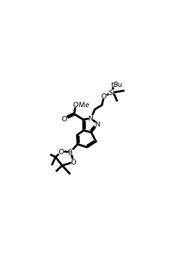 COC(=O)c1c2cc(B3OC(C)(C)C(C)(C)O3)ccc2nn1CCO[Si](C)(C)C(C)(C)C